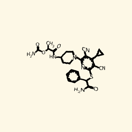 CC(OC(N)=O)C(=O)NC1CCN(c2nc(SC(C(N)=O)c3ccccc3)c(C#N)c(C3CC3)c2C#N)CC1